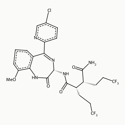 COc1cccc2c1NC(=O)[C@@H](NC(=O)[C@@H](CCC(F)(F)F)[C@@H](CCC(F)(F)F)C(N)=O)N=C2c1ccc(Cl)cn1